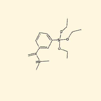 C=C(c1cccc([Si](OCC)(OCC)OCC)c1)[SiH](C)C